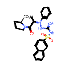 CC(C(=O)N1CCC[C@H]1C(=O)O)N(NC(=N)NS(=O)(=O)c1ccc2ccccc2c1)c1ccccc1